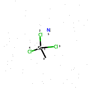 C[Si](Cl)(Cl)Cl.[N]